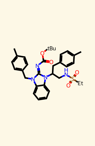 CCS(=O)(=O)NCC(Cc1ccc(C)cc1)n1c(=NC(=O)OC(C)(C)C)n(Cc2ccc(C)cc2)c2ccccc21